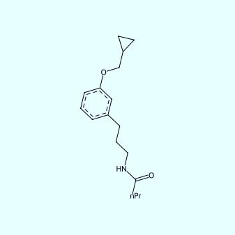 CCCC(=O)NCCCc1cccc(OCC2CC2)c1